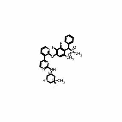 Cc1cc(Oc2ncccc2-c2ccnc(N[C@@H]3CNC[C@@](C)(F)C3)n2)c(F)c(F)c1C(c1ccccc1)S(N)(=O)=O